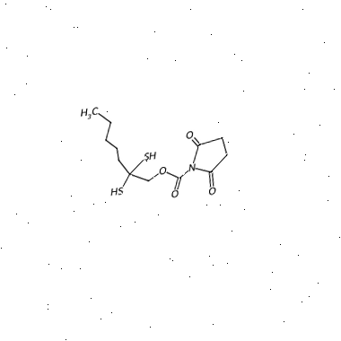 CCCCCC(S)(S)COC(=O)N1C(=O)CCC1=O